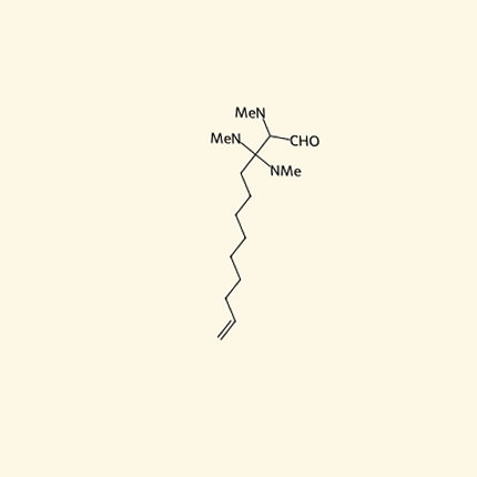 C=CCCCCCCCC(NC)(NC)C(C=O)NC